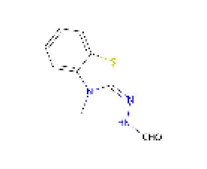 Cn1c(=NNC=O)sc2ccccc21